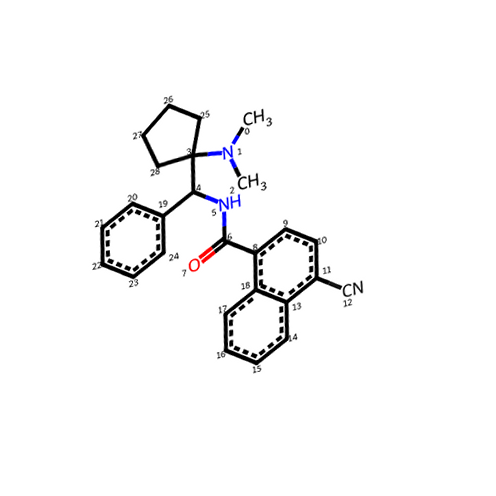 CN(C)C1(C(NC(=O)c2ccc(C#N)c3ccccc23)c2ccccc2)CCCC1